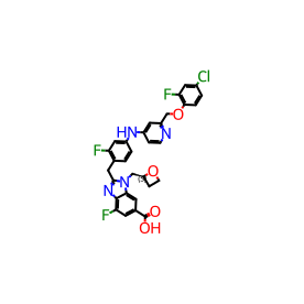 O=C(O)c1cc(F)c2nc(Cc3ccc(Nc4ccnc(COc5ccc(Cl)cc5F)c4)cc3F)n(C[C@@H]3CCO3)c2c1